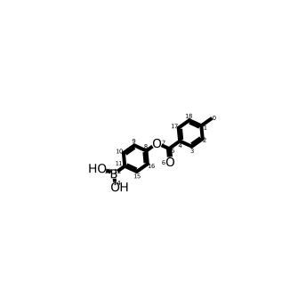 Cc1ccc(C(=O)Oc2ccc(B(O)O)cc2)cc1